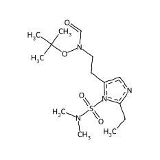 CCc1ncc(CCN(C=O)OC(C)(C)C)n1S(=O)(=O)N(C)C